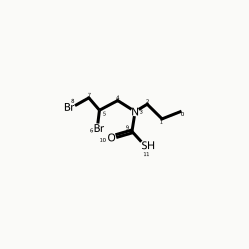 CCCN(CC(Br)CBr)C(=O)S